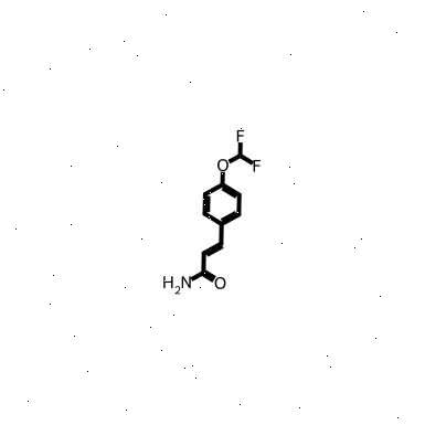 NC(=O)C=Cc1ccc(OC(F)F)cc1